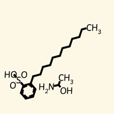 CC(N)O.CCCCCCCCCCCCc1ccccc1S(=O)(=O)O